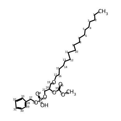 CCCCCCCCCCCCCCCCCCOCC(COP(=O)(O)OCc1ccccc1)OC(=O)OC